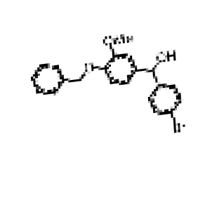 COc1cc(C(O)c2ccc(Br)cc2)ccc1OCc1ccccc1